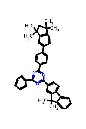 CC1(C)CC(C)(C)c2cc(-c3ccc(-c4nc(-c5ccccc5)nc(-c5ccc6c(c5)C(C)(C)c5ccccc5-6)n4)cc3)ccc21